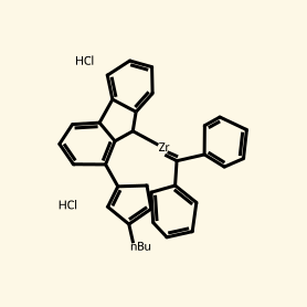 CCCCC1=CCC(c2cccc3c2[CH]([Zr]=[C](c2ccccc2)c2ccccc2)c2ccccc2-3)=C1.Cl.Cl